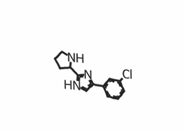 Clc1cccc(-c2c[nH]c(C3CCCN3)n2)c1